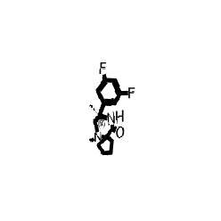 CN1C[C@@](C)(c2cc(F)cc(F)c2)NC(=O)C12CCCC2